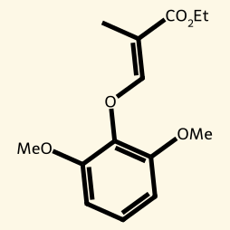 CCOC(=O)/C(C)=C/Oc1c(OC)cccc1OC